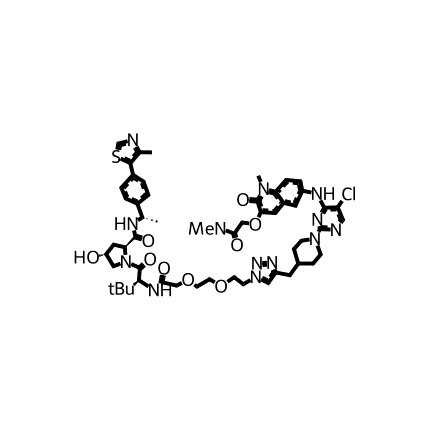 CNC(=O)COc1cc2cc(Nc3nc(N4CCC(Cc5cn(CCOCCOCC(=O)N[C@H](C(=O)N6C[C@H](O)C[C@H]6C(=O)N[C@@H](C)c6ccc(-c7scnc7C)cc6)C(C)(C)C)nn5)CC4)ncc3Cl)ccc2n(C)c1=O